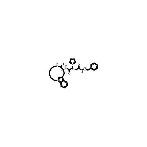 O=C(C[C@H](C(=O)N[C@H]1Cc2cn(c3ccccc23)CCCCCCNC1=O)n1cccc1)NOCc1ccccc1